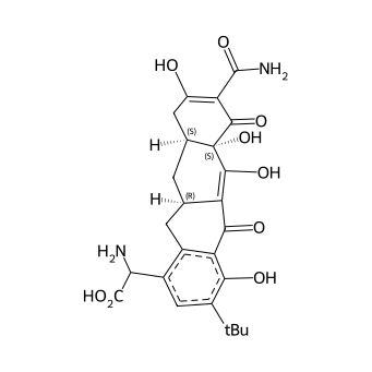 CC(C)(C)c1cc(C(N)C(=O)O)c2c(c1O)C(=O)C1=C(O)[C@]3(O)C(=O)C(C(N)=O)=C(O)C[C@@H]3C[C@@H]1C2